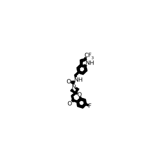 O=C1CC2(CN(C(=O)NCc3ccc4[nH]c(C(F)(F)F)cc4c3)C2)Oc2cc(F)ccc21